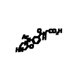 CC(=O)N(c1cccc(C(=O)NCC(=O)O)c1)N1CCNCC1=O